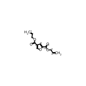 C=CCOC(=O)c1coc(C(=O)OCC=C)c1